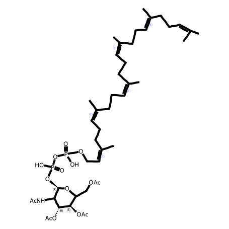 CC(=O)NC1[C@@H](OP(=O)(O)OP(=O)(O)OC/C=C(/C)CC/C=C(/C)CC/C=C(/C)CC/C=C(/C)CC/C=C(\C)CCC=C(C)C)OC(COC(C)=O)[C@@H](OC(C)=O)[C@@H]1OC(C)=O